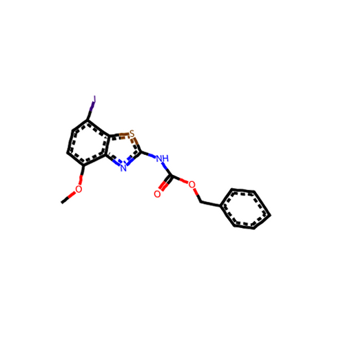 COc1ccc(I)c2sc(NC(=O)OCc3ccccc3)nc12